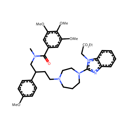 CCOC(=O)Cn1c(N2CCCN(CCC(CN(C)C(=O)c3cc(OC)c(OC)c(OC)c3)c3ccc(OC)cc3)CC2)nc2ccccc21